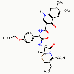 CCn1cc(C(=O)NC(C(=O)N[C@@H]2C(=O)N3C(C(=O)O)=C(COC(C)=O)CS[C@H]23)c2ccc(OCC(=O)O)cc2)c(=O)c2cc(OC(C)=O)c(OC(C)=O)cc21